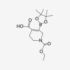 CCOC(=O)N1CCC(C(=O)O)=C(B2OC(C)(C)C(C)(C)O2)C1